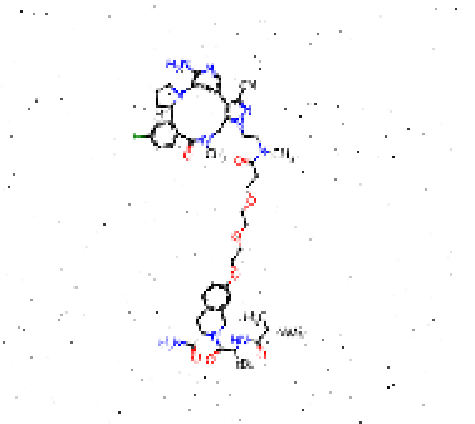 CN[C@@H](C)C(=O)N[C@H](C(=O)N1Cc2cc(OCCOCCOCCC(=O)N(C)CCn3nc(C#N)c4c3CN(C)C(=O)c3ccc(F)cc3[C@H]3CCCN3c3cc-4cnc3N)ccc2C[C@H]1C(N)=O)C(C)(C)C